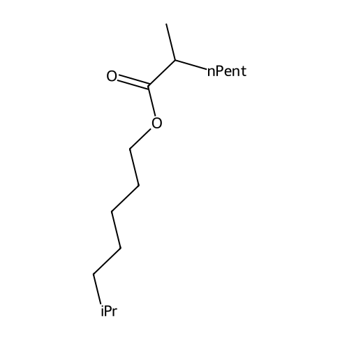 CCCCCC(C)C(=O)OCCCCCC(C)C